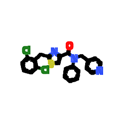 O=C(c1csc(Cc2c(Cl)cccc2Cl)n1)N(Cc1ccncc1)c1ccccc1